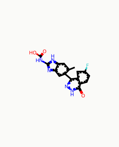 Cc1cc2[nH]c(NC(=O)O)nc2cc1-c1n[nH]c(=O)c2ccc(F)cc12